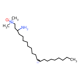 CCCCCCCC/C=C\CCCCCCCCC(N)CC[N+](C)(C)[O-]